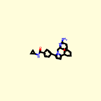 Nc1cccc(Cn2c(-c3ccccc3)ccc2-c2ccc(C(=O)NC3CC3)cc2)n1